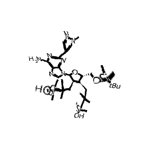 Cn1cc(-c2nc(N)c3ncn(C4O[C@H](CO[Si](C)(C)C(C)(C)C)[C@@H](CC(C)(C)[Si](C)(C)O)[C@H]4CC(C)(C)[Si](C)(C)O)c3n2)cn1